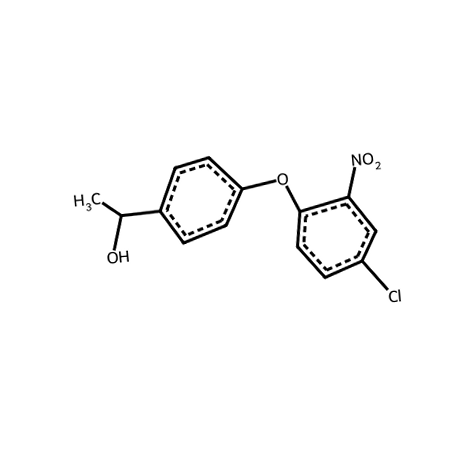 CC(O)c1ccc(Oc2ccc(Cl)cc2[N+](=O)[O-])cc1